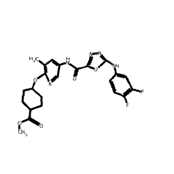 COC(=O)C1CCC(Oc2ncc(NC(=O)c3nnc(Nc4ccc(F)c(F)c4)o3)cc2C)CC1